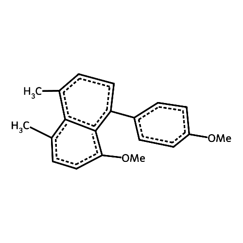 COc1ccc(-c2ccc(C)c3c(C)ccc(OC)c23)cc1